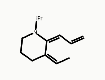 C=C/C=C1\C(=C/C)CCCN1C(C)C